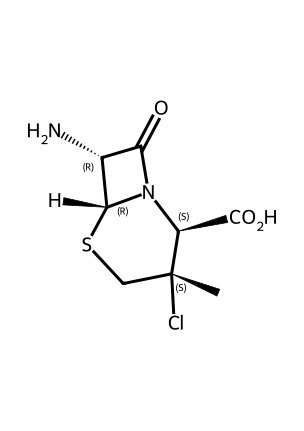 C[C@@]1(Cl)CS[C@@H]2[C@H](N)C(=O)N2[C@H]1C(=O)O